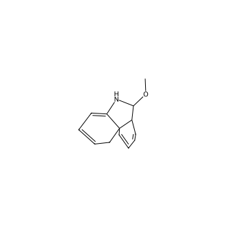 COC1NC2=CC=CCC23C=CC=CC13